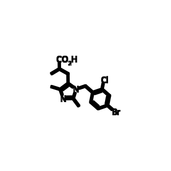 Cc1nc(C)n(Cc2ccc(Br)cc2Cl)c1CC(C)C(=O)O